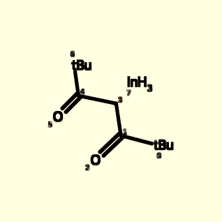 CC(C)(C)C(=O)CC(=O)C(C)(C)C.[InH3]